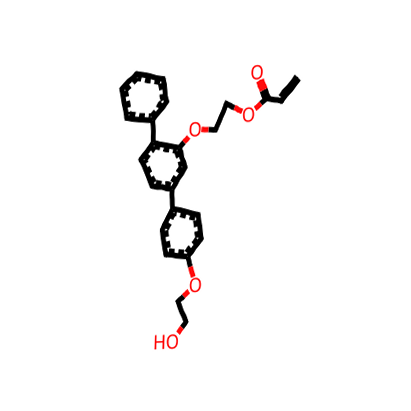 C=CC(=O)OCCOc1cc(-c2ccc(OCCO)cc2)ccc1-c1ccccc1